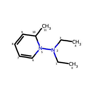 CCN(CC)N1C=CC=CC1C